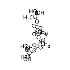 Cc1cc(COCc2c3ccccc3c(CN(C)C(=O)c3ccc(C(=O)N(C)Cc4c5ccccc5c(COCc5cc(OBO)cc(OBO)c5)c5ccccc45)cc3C(C)(C)C)c3ccccc23)cc(B(O)O)c1